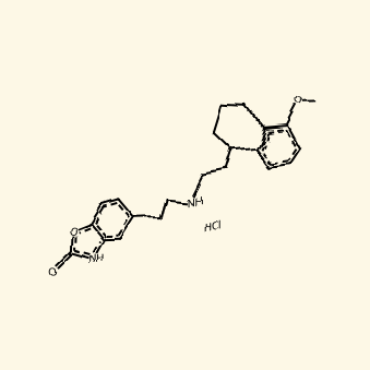 COc1cccc2c1CCCC2CCNCCc1ccc2oc(=O)[nH]c2c1.Cl